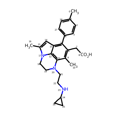 Cc1ccc(-c2c(CC(=O)O)c(C)c3c4c2cc(C)n4CCN3CCNC2CC2)cc1